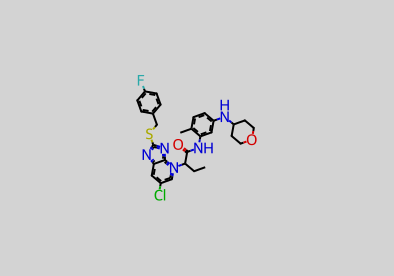 CCC(C(=O)Nc1cc(NC2CCOCC2)ccc1C)n1cc(Cl)cc2nc(SCc3ccc(F)cc3)nc1-2